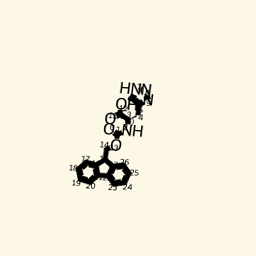 O=C(N[C@@H](Cc1c[nH]nn1)C(=O)O)OCC1c2ccccc2-c2ccccc21